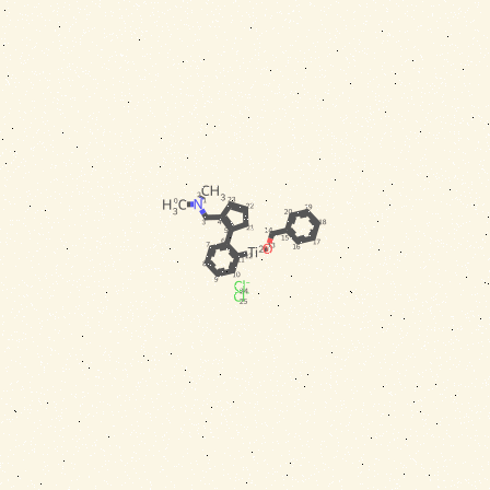 CN(C)CC1=C(c2cccc[c]2[Ti+2][O]Cc2ccccc2)CC=C1.[Cl-].[Cl-]